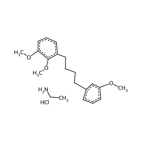 CCN.COc1cccc(CCCCc2cccc(OC)c2OC)c1.Cl